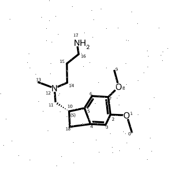 COc1cc2c(cc1OC)[C@@H](CN(C)CCCN)C2